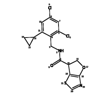 O=C(NCc1c(Cl)cc(Cl)cc1C1CC1)C1COc2ncsc21